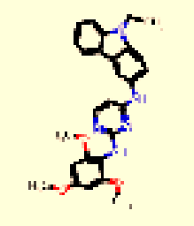 CCn1c2ccccc2c2cc(Nc3ccnc(Nc4c(OC)cc(OC)cc4OC)n3)ccc21